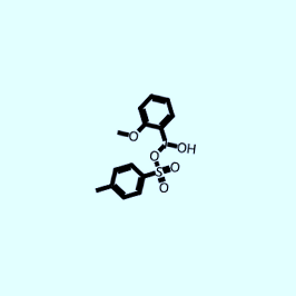 COc1ccccc1I(O)OS(=O)(=O)c1ccc(C)cc1